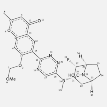 COCOc1cc2oc(C)cc(=O)c2cc1-c1ncc(N(C)[C@H]2C[C@@H]3CC[C@H]([C@H]2F)N3C(=O)O)nn1